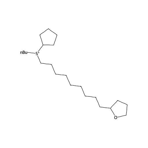 CCCC[S+](CCCCCCCCCC1CCCO1)C1CCCC1